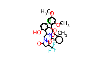 COc1ccc(COC(=O)[C@@]2(C)CCCC[C@H]2C(=O)N2CCc3c(Cl)ccc(O)c3C2CN2CC(C(F)(F)F)CC2=O)c(OC)c1